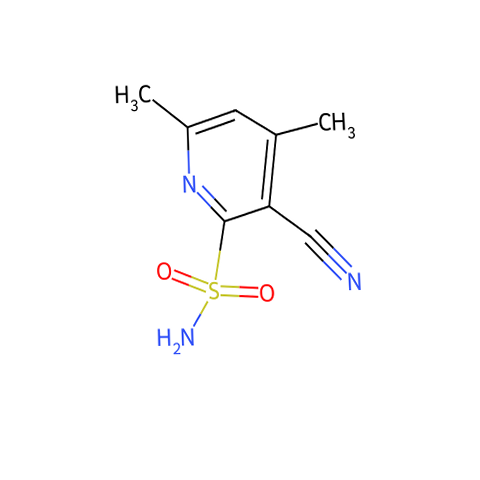 Cc1cc(C)c(C#N)c(S(N)(=O)=O)n1